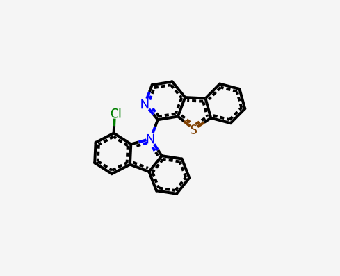 Clc1cccc2c3ccccc3n(-c3nccc4c3sc3ccccc34)c12